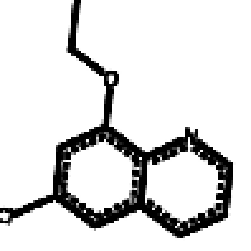 CCOc1cc(Cl)cc2cccnc12